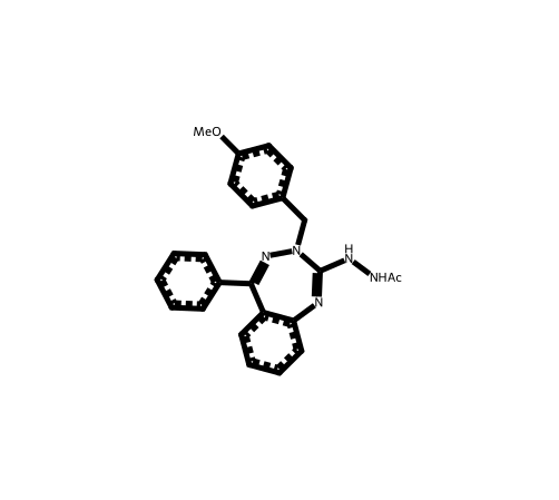 COc1ccc(CN2N=C(c3ccccc3)c3ccccc3N=C2NNC(C)=O)cc1